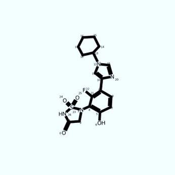 O=C1CN(c2c(O)ccc(-c3cn(C4CCCCC4)cn3)c2F)S(=O)(=O)N1